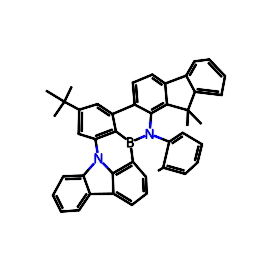 Cc1ccccc1N1B2c3c(cc(C(C)(C)C)cc3-n3c4ccccc4c4cccc2c43)-c2ccc3c(c21)C(C)(C)c1ccccc1-3